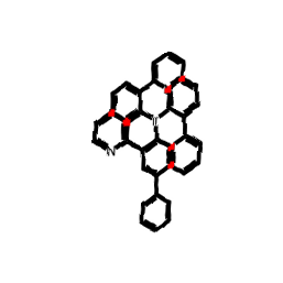 c1ccc(-c2cc[c]([Ir]([c]3ccccc3-c3ccccn3)[c]3ccccc3-c3ccccn3)c(-c3ccccn3)c2)cc1